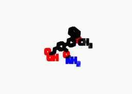 COc1ccc(-c2ccc(/C=C/C(=O)O)cc2COCN)cc1C12CC3CC(CC(C3)C1)C2